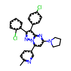 Cc1ccc(-c2cc(N3CCCC3)nc3c(-c4ccc(Cl)cc4)c(-c4ccccc4Cl)nn23)cn1